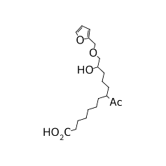 CC(=O)C(CCCCCCC(=O)O)CCCC(O)COCc1ccco1